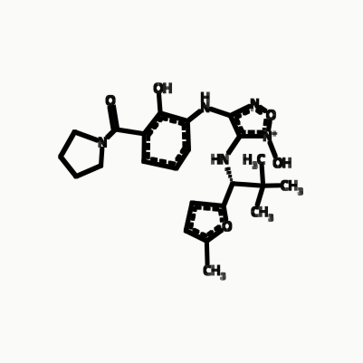 Cc1ccc([C@H](Nc2c(Nc3cccc(C(=O)N4CCCC4)c3O)no[n+]2O)C(C)(C)C)o1